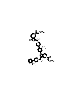 COCC(=O)N1CCCc2[nH]nc(C(O)N3CCC(c4ccc(-n5nc(C(=O)N6CCC(c7ccccc7C(F)(F)F)CC6)c6c5CCN(C(=O)COC)C6)cc4C(F)(F)F)CC3)c2C1